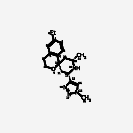 CCc1ccc2c(c1)CCO[C@@]21C[C@@H](c2cn(C)nn2)N[C@@H](C)C1